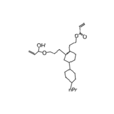 C=CC(=O)OCCC1CCC(C2CCC(CCC)CC2)CC1CCCOC(O)C=C